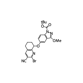 COc1nn(C(=O)OC(C)(C)C)c2ccc(OC3CCCc4cc(C#N)c(Br)nc43)cc12